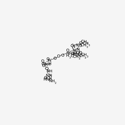 CC(C)(C)OC(=O)CN1CCN(CC(=O)OC(C)(C)C)Cc2cccc(n2)CN(C(CCC(=O)NCCCOCCOCCOCCCNC(=O)CC[C@H](NC(=O)c2ccc(NCc3cnc4nc(N)[nH]c(=O)c4n3)cc2)C(=O)O)C(=O)OC(C)(C)C)CC1